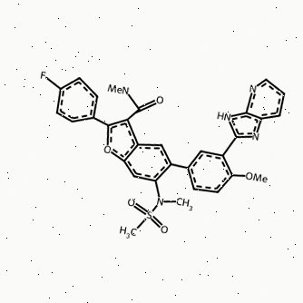 CNC(=O)c1c(-c2ccc(F)cc2)oc2cc(N(C)S(C)(=O)=O)c(-c3ccc(OC)c(-c4nc5cccnc5[nH]4)c3)cc12